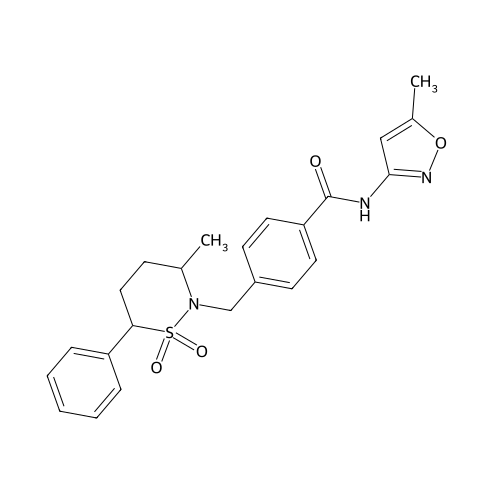 Cc1cc(NC(=O)c2ccc(CN3C(C)CCC(c4ccccc4)S3(=O)=O)cc2)no1